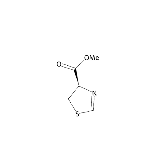 COC(=O)[C@@H]1CSC=N1